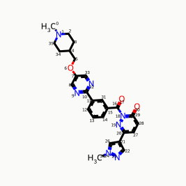 CN1CCC(COc2cnc(-c3cccc(C(=O)n4nc(-c5cnn(C)c5)ccc4=O)c3)nc2)CC1